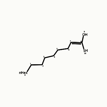 CCCCCCCCCCCC[C]=C(O)S